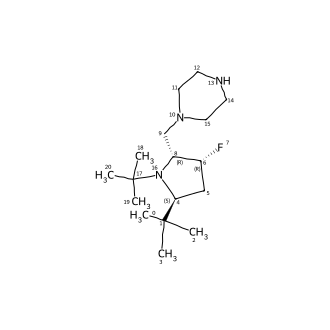 CC(C)(C)[C@@H]1C[C@@H](F)[C@@H](CN2CCNCC2)N1C(C)(C)C